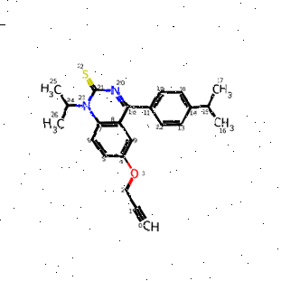 C#CCOc1ccc2c(c1)c(-c1ccc(C(C)C)cc1)nc(=S)n2C(C)C